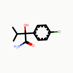 CC(C)C(O)(C(N)=O)c1ccc(Cl)cc1